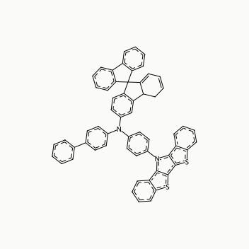 C1=CCC2C(=C1)C1(c3ccccc3-c3ccccc31)c1ccc(N(c3ccc(-c4ccccc4)cc3)c3ccc(-n4c5c6ccccc6sc5c5sc6ccccc6c54)cc3)cc12